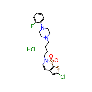 Cl.O=S1(=O)c2sc(Cl)cc2C=CN1CCCCN1CCN(c2ccccc2F)CC1